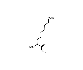 CCCCCCCCCCCCCCC(OC(C)=O)C(N)=S